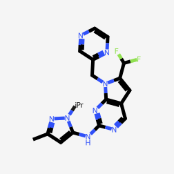 Cc1cc(Nc2ncc3cc(C(F)F)n(Cc4cnccn4)c3n2)n(C(C)C)n1